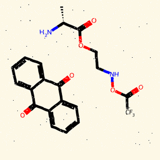 C[C@@H](N)C(=O)OCCNOC(=O)C(F)(F)F.O=C1c2ccccc2C(=O)c2ccccc21